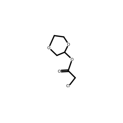 O=C(CCl)OC1COCCO1